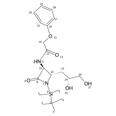 CC(C)(C)[Si](C)(C)N1C(=O)[C@@H](NC(=O)COc2ccccc2)[C@@H]1C[C@@H](O)CO